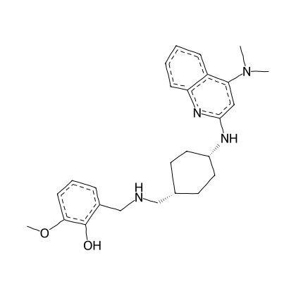 COc1cccc(CNC[C@H]2CC[C@@H](Nc3cc(N(C)C)c4ccccc4n3)CC2)c1O